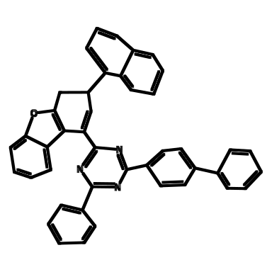 C1=C(c2nc(-c3ccccc3)nc(-c3ccc(-c4ccccc4)cc3)n2)c2c(oc3ccccc23)CC1c1cccc2ccccc12